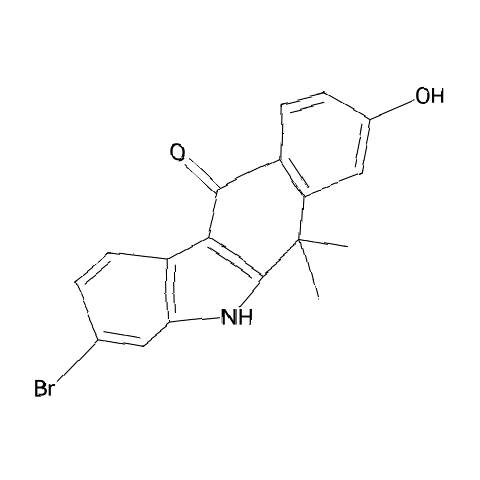 CC1(C)c2cc(O)ccc2C(=O)c2c1[nH]c1cc(Br)ccc21